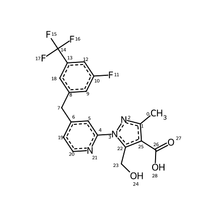 Cc1nn(-c2cc(Cc3cc(F)cc(C(F)(F)F)c3)ccn2)c(CO)c1C(=O)O